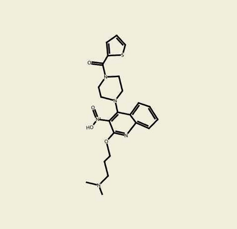 CN(C)CCCOc1nc2ccccc2c(N2CCN(C(=O)c3cccs3)CC2)c1[N+](=O)O